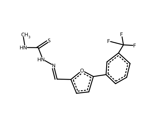 CNC(=S)NN=Cc1ccc(-c2cccc(C(F)(F)F)c2)o1